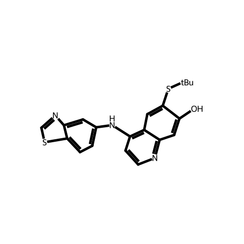 CC(C)(C)Sc1cc2c(Nc3ccc4scnc4c3)ccnc2cc1O